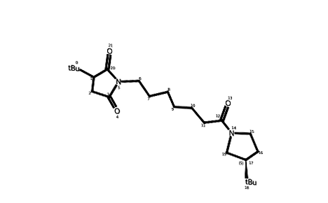 CC(C)(C)C1CC(=O)N(CCCCCCC(=O)N2CC[C@@H](C(C)(C)C)C2)C1=O